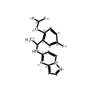 CC(Nc1ccn2nccc2n1)c1cc(F)ccc1OC(F)F